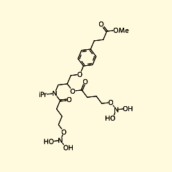 COC(=O)CCc1ccc(OCC(CN(C(=O)CCCON(O)O)C(C)C)OC(=O)CCCON(O)O)cc1